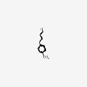 [O]CCCCc1ccc(C(Cl)(Cl)Cl)cc1